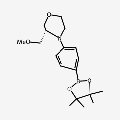 COC[C@@H]1COCCN1c1ccc(B2OC(C)(C)C(C)(C)O2)cc1